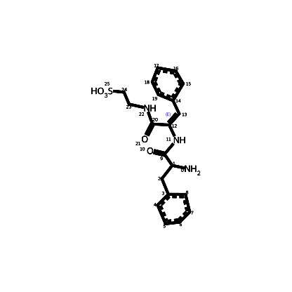 NC(Cc1ccccc1)C(=O)N/C(=C/c1ccccc1)C(=O)NCCS(=O)(=O)O